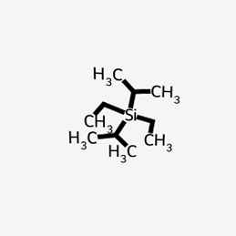 CC[Si](CC)(C(C)C)C(C)C